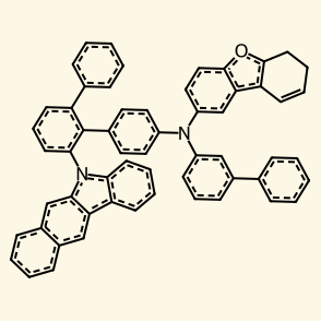 C1=Cc2c(oc3ccc(N(c4ccc(-c5c(-c6ccccc6)cccc5-n5c6ccccc6c6cc7ccccc7cc65)cc4)c4cccc(-c5ccccc5)c4)cc23)CC1